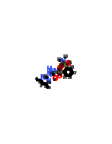 Cc1cc(C)nc(NC(=O)NS(=O)(=O)c2ccccc2S(=O)(=O)N(C)C)n1